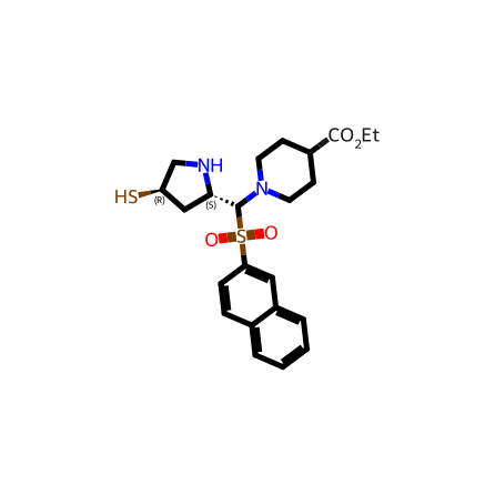 CCOC(=O)C1CCN(C([C@@H]2C[C@@H](S)CN2)S(=O)(=O)c2ccc3ccccc3c2)CC1